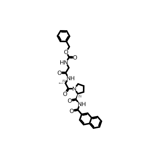 C[C@H](NC(=O)CNC(=O)OCc1ccccc1)C(=O)N1CCC[C@H]1C(=O)NC(=O)c1ccc2ccccc2c1